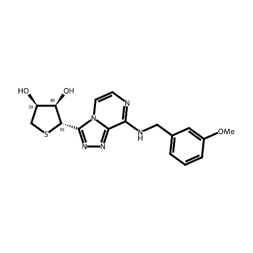 COc1cccc(CNc2nccn3c([C@@H]4SC[C@@H](O)[C@H]4O)nnc23)c1